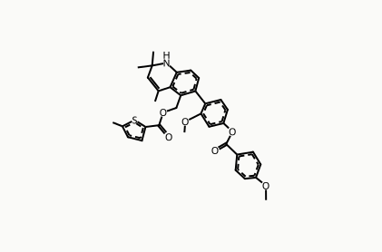 COc1ccc(C(=O)Oc2ccc(-c3ccc4c(c3COC(=O)c3ccc(C)s3)C(C)=CC(C)(C)N4)c(OC)c2)cc1